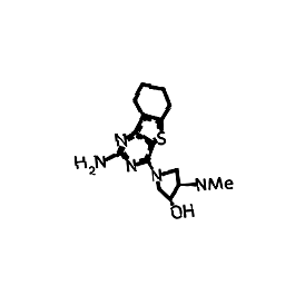 CN[C@@H]1CN(c2nc(N)nc3c4c(sc23)CCCC4)C[C@@H]1O